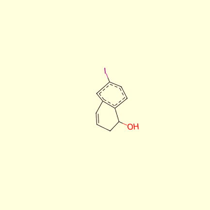 OC1CC=Cc2cc(I)ccc21